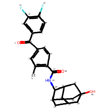 CCc1cc(C(=O)c2ccc(F)c(F)c2)ccc1C(=O)NC1C2CC3CC1CC(O)(C3)C2